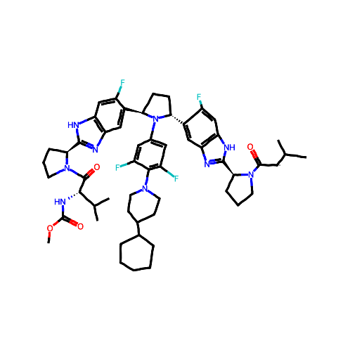 COC(=O)N[C@H](C(=O)N1CCC[C@H]1c1nc2cc([C@H]3CC[C@H](c4cc5nc([C@@H]6CCCN6C(=O)[CH]C(C)C)[nH]c5cc4F)N3c3cc(F)c(N4CCC(C5CCCCC5)CC4)c(F)c3)c(F)cc2[nH]1)C(C)C